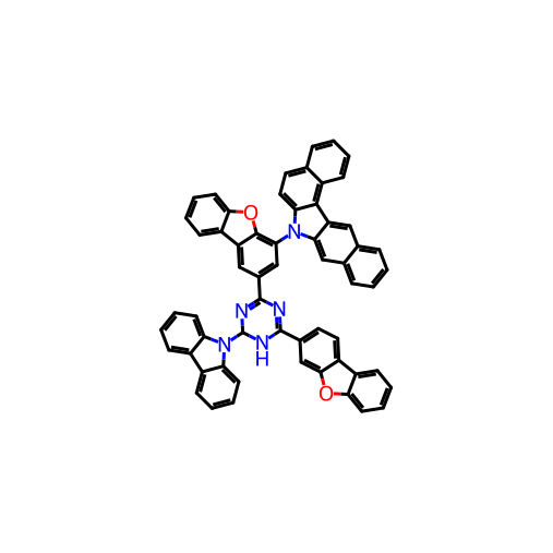 c1ccc2cc3c(cc2c1)c1c2ccccc2ccc1n3-c1cc(C2=NC(n3c4ccccc4c4ccccc43)NC(c3ccc4c(c3)oc3ccccc34)=N2)cc2c1oc1ccccc12